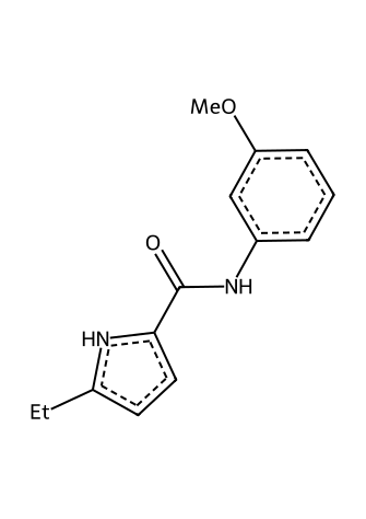 CCc1ccc(C(=O)Nc2cccc(OC)c2)[nH]1